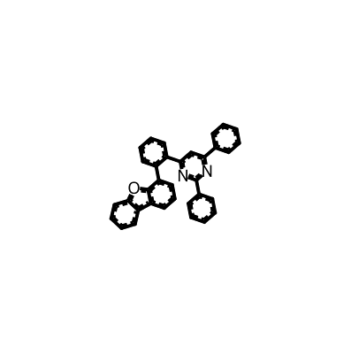 c1ccc(-c2cc(-c3ccccc3-c3cccc4c3oc3ccccc34)nc(-c3ccccc3)n2)cc1